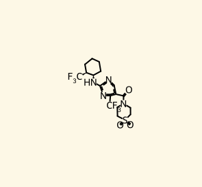 O=C(c1cnc(N[C@@H]2CCCC[C@@H]2C(F)(F)F)nc1C(F)(F)F)N1CCS(=O)(=O)CC1